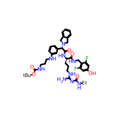 CCNC(=O)/N=C(/N)NCCC[C@@H](NC(=O)[C@H](c1cccc(NCCCNC(=O)OC(C)(C)C)c1)N1Cc2ccccc2C1)C(=O)NCc1c(F)cc(O)cc1F